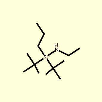 CCC[Si](NCC)(C(C)(C)C)C(C)(C)C